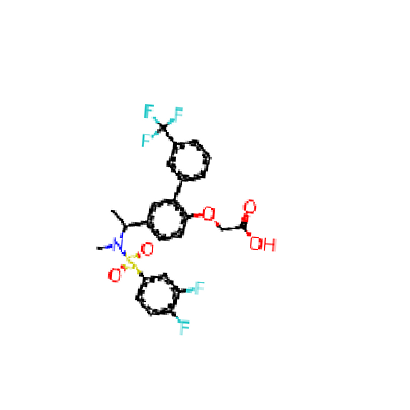 CC(c1ccc(OCC(=O)O)c(-c2cccc(C(F)(F)F)c2)c1)N(C)S(=O)(=O)c1ccc(F)c(F)c1